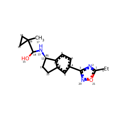 CCc1nc(-c2ccc3c(c2)CC[C@H]3NC(O)C2(C)CC2)no1